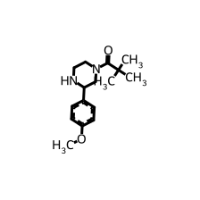 COc1ccc(C2CN(C(=O)C(C)(C)C)CCN2)cc1